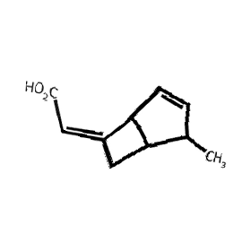 CC1C=CC2C(=CC(=O)O)CC12